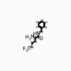 N[C@@H](CCSC(F)(F)F)C(=O)NCc1ccccc1